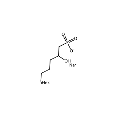 CCCCCCCCCC(O)CS(=O)(=O)[O-].[Na+]